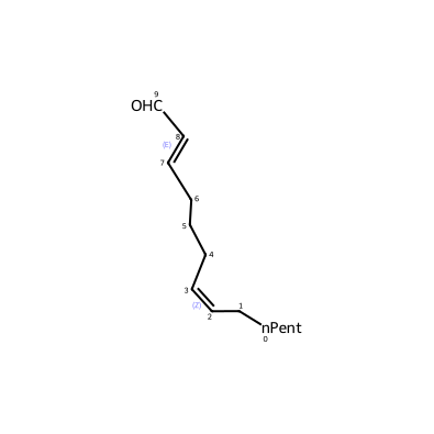 CCCCCC/C=C\CCC/C=C/C=O